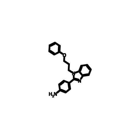 Nc1ccc(-c2nc3ccccc3n2CCCOc2ccccc2)cc1